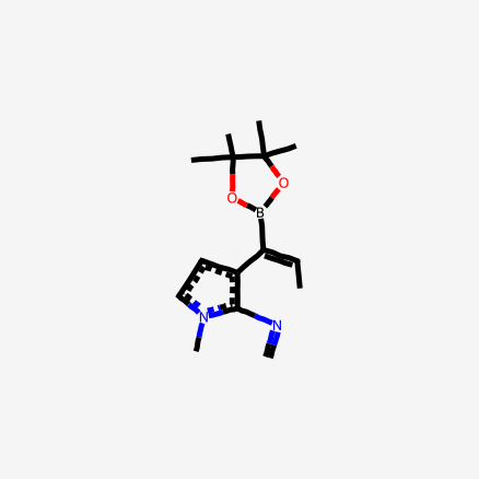 C=Nc1c(/C(=C\C)B2OC(C)(C)C(C)(C)O2)ccn1C